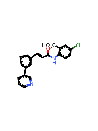 O=C(C=Cc1cccc(-c2cccnc2)c1)Nc1ccc(Cl)cc1C(=O)O